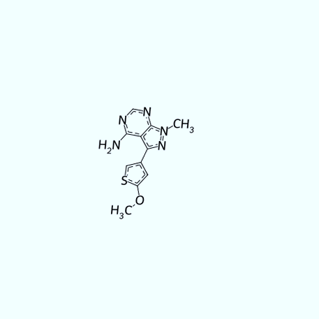 COc1cc(-c2nn(C)c3ncnc(N)c23)cs1